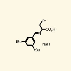 CC(C)CC(N=Cc1cc(C(C)(C)C)cc(C(C)(C)C)c1)C(=O)O.[NaH]